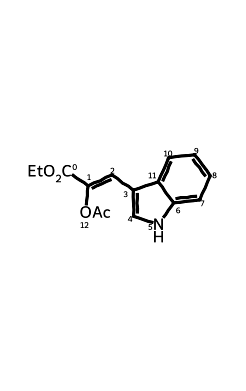 CCOC(=O)C(=Cc1c[nH]c2ccccc12)OC(C)=O